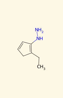 CCC1=C(NN)C=CC1